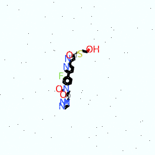 O=C1O[C@@H](Cn2ccnn2)CN1c1ccc(-c2ccc(C3=NO[C@H](CSCCO)C3)nc2)c(F)c1